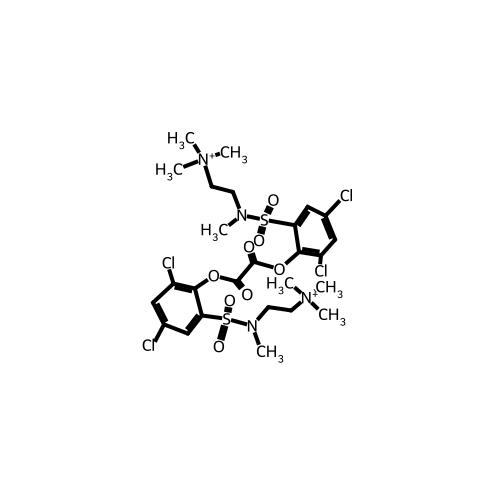 CN(CC[N+](C)(C)C)S(=O)(=O)c1cc(Cl)cc(Cl)c1OC(=O)C(=O)Oc1c(Cl)cc(Cl)cc1S(=O)(=O)N(C)CC[N+](C)(C)C